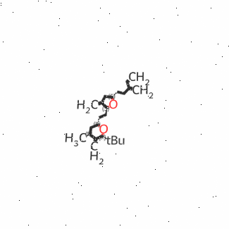 C=CC(=C)CC[C@H]1CC(=C)[C@H](CC[C@H]2C[C@@H](C)C(=C)[C@@H](C(C)(C)C)O2)O1